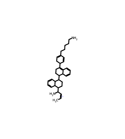 C/C=C\C(N)C1CCC(C2CCC(C3C=CC(CCCCCN)=CC3)=C3C=CC=CC32)C2C=CC=CC21